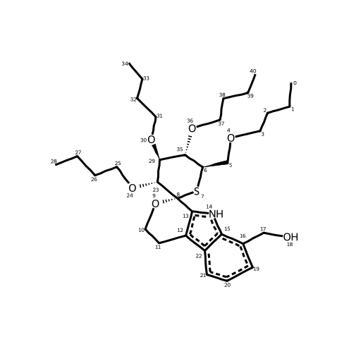 CCCCOC[C@H]1S[C@]2(OCCc3c2[nH]c2c(CO)cccc32)[C@H](OCCCC)[C@@H](OCCCC)[C@@H]1OCCCC